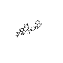 COc1cnc(-n2cncn2)c2[nH]cc(C(=O)C(=O)N3CCN(c4ncnc5ccccc45)CC3)c12